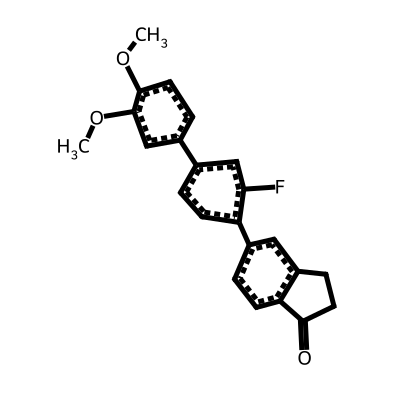 COc1ccc(-c2ccc(-c3ccc4c(c3)CCC4=O)c(F)c2)cc1OC